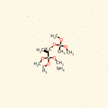 C=C[Si](OC)(OC)OC.CO[Si](C)(OC)OC.[SiH4]